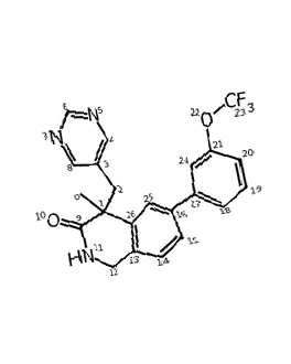 CC1(Cc2cncnc2)C(=O)NCc2ccc(-c3cccc(OC(F)(F)F)c3)cc21